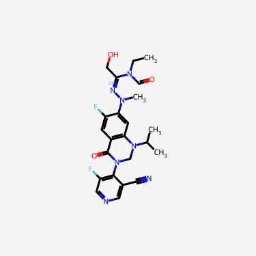 CCN(C=O)/C(CO)=N\N(C)c1cc2c(cc1F)C(=O)N(c1c(F)cncc1C#N)CN2C(C)C